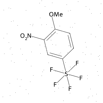 COc1ccc(S(F)(F)(F)(F)F)cc1[N+](=O)[O-]